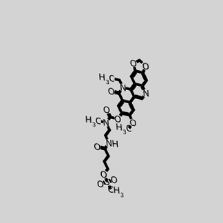 CCn1c(=O)c2cc(OC(=O)N(C)CCNC(=O)CCCOS(C)(=O)=O)c(OC)cc2c2cnc3cc4c(cc3c21)OCO4